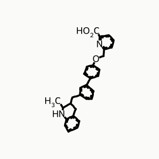 CC1Nc2ccccc2CC1Cc1cccc(-c2ccc(OCc3cccc(C(=O)O)n3)cc2)c1